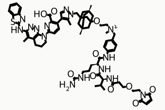 Cc1c(Nc2nc3ccccc3s2)nnc2c1CCCN2c1ccc(-c2cnn(CC34CC5(OCC[N+](C)(C)Cc6ccc(NC(=O)[C@H](CCCNC(N)=O)NC(=O)[C@@H](NC(=O)CCOCCN7C(=O)C=CC7=O)C(C)C)cc6)C[C@](C)(C3)C[C@](C)(C4)C5)c2C)c(C(=O)O)n1